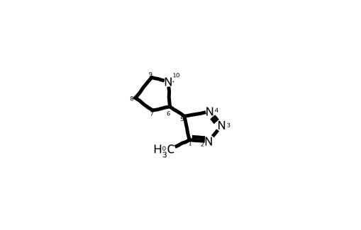 CC1=NN=NC1C1CCC[N]1